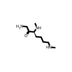 CNCCCC[C@H](NC)C(=O)CN